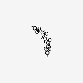 CCC(CC(C(=O)OC(C)COS(=O)(=O)c1ccc(C)cc1)C(C)(C)C)C(=O)OCC(C)OS(=O)(=O)c1ccc(C)cc1